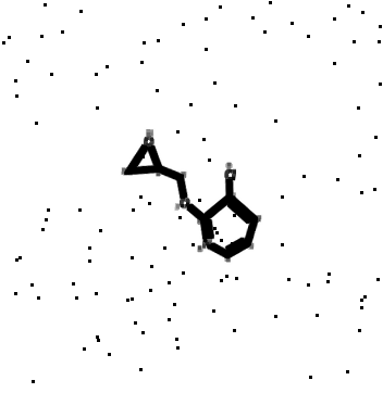 Clc1cccnc1OCC1CO1